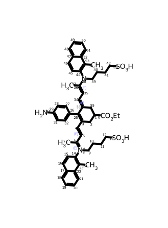 CCOC(=O)C1CC(/C=C/C(C)=[N+](\CCCCS(=O)(=O)O)c2ccc3ccccc3c2C)=C(c2ccc(N)cc2)C(=C/C=C(\C)N(CCCCS(=O)(=O)O)c2ccc3ccccc3c2C)/C1